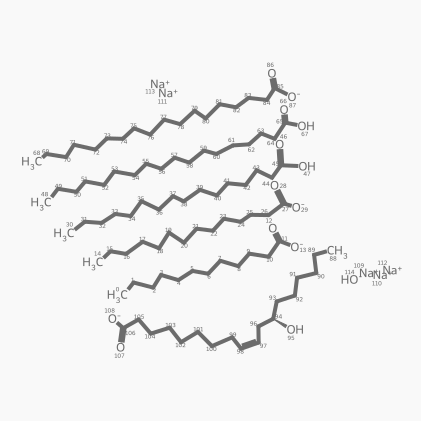 CCCCCCCCCCCC(=O)[O-].CCCCCCCCCCCCCC(=O)[O-].CCCCCCCCCCCCCCCC(=O)O.CCCCCCCCCCCCCCCCCC(=O)O.CCCCCCCCCCCCCCCCCC(=O)[O-].CCCCCC[C@@H](O)C/C=C\CCCCCCCC(=O)[O-].[Na+].[Na+].[Na+].[Na+].[Na+].[OH-]